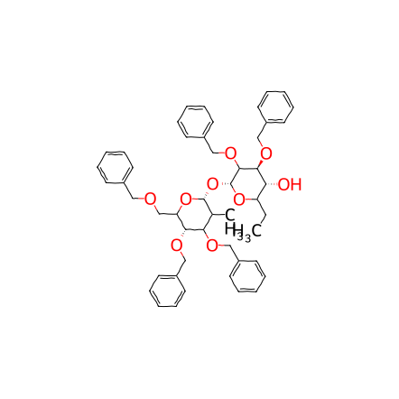 CCC1O[C@H](O[C@H]2OC(COCc3ccccc3)[C@@H](OCc3ccccc3)C(OCc3ccccc3)C2C)C(OCc2ccccc2)[C@@H](OCc2ccccc2)[C@@H]1O